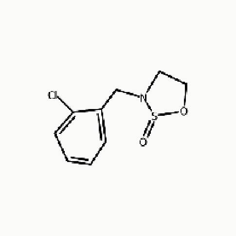 O=S1OCCN1Cc1ccccc1Cl